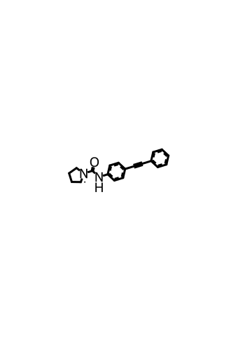 O=C(Nc1ccc(C#Cc2ccccc2)cc1)N1[CH]CCC1